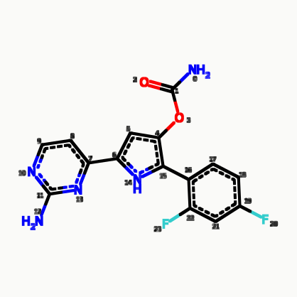 NC(=O)Oc1cc(-c2ccnc(N)n2)[nH]c1-c1ccc(F)cc1F